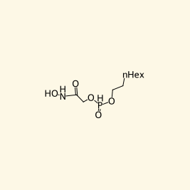 CCCCCCCCO[PH](=O)OCC(=O)NO